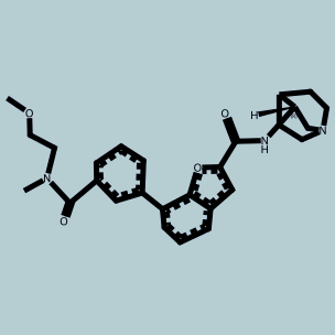 COCCN(C)C(=O)c1cccc(-c2cccc3cc(C(=O)N[C@H]4CN5CCC4CC5)oc23)c1